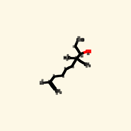 C=C(CC)CCCCC(C)(C)C(O)CC=O